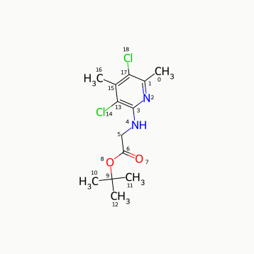 Cc1nc(NCC(=O)OC(C)(C)C)c(Cl)c(C)c1Cl